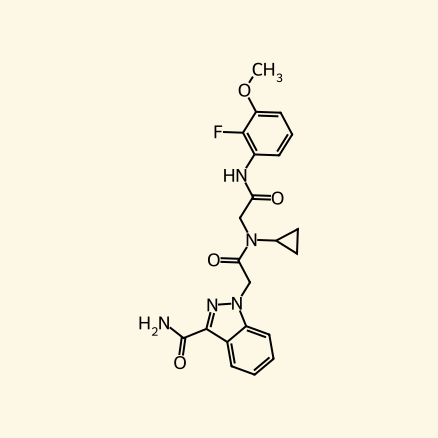 COc1cccc(NC(=O)CN(C(=O)Cn2nc(C(N)=O)c3ccccc32)C2CC2)c1F